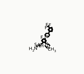 CN1CCN(c2cc(N3CCC(c4cccc(C(F)(F)F)c4)CC3)c(F)cc2/C=N/NC(N)=S)CC1